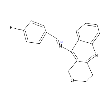 Fc1ccc(/C=N/c2c3c(nc4ccccc24)CCOC3)cc1